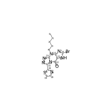 CCCCCn1c2nc(Br)[nH]c2c(=O)n2c(-c3nccs3)nnc12